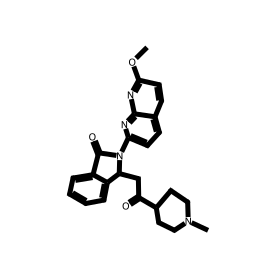 COc1ccc2ccc(N3C(=O)c4ccccc4C3CC(=O)C3CCN(C)CC3)nc2n1